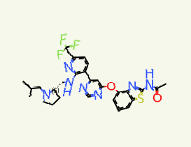 CC(=O)Nc1nc2c(Oc3cc(-c4ccc(C(F)(F)F)nc4NC[C@@H]4CCCN4CC(C)C)ncn3)cccc2s1